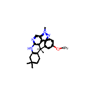 CC(C)Oc1cccc([C@]2(C)C3=C(CC(C)(C)CC3)Nc3ncc4c(cnn4C)c32)c1